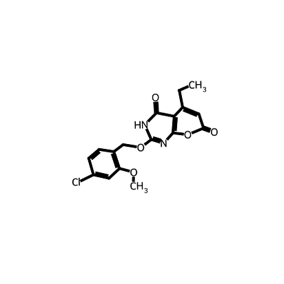 CCc1cc(=O)oc2nc(OCc3ccc(Cl)cc3OC)[nH]c(=O)c12